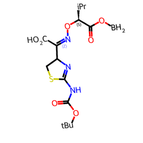 BOC(=O)[C@@H](O/N=C(\C(=O)O)C1CSC(NC(=O)OC(C)(C)C)=N1)C(C)C